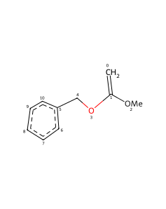 C=C(OC)OCc1ccccc1